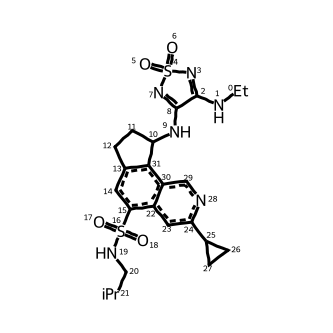 CCNC1=NS(=O)(=O)N=C1NC1CCc2cc(S(=O)(=O)NCC(C)C)c3cc(C4CC4)ncc3c21